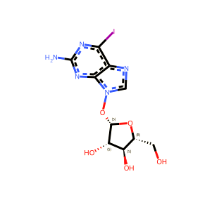 Nc1nc(I)c2ncn(O[C@@H]3O[C@H](CO)[C@@H](O)[C@@H]3O)c2n1